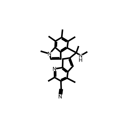 CNC(C)(C1=Cc2c(nc(C)c(C#N)c2C)C1)c1c(C)c(C)c(C)c2c1ccn2C